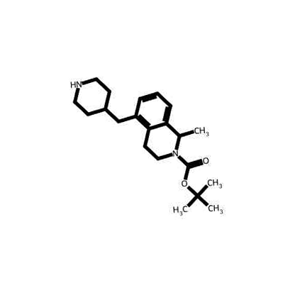 CC1c2cccc(CC3CCNCC3)c2CCN1C(=O)OC(C)(C)C